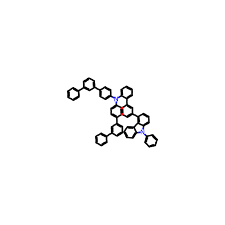 c1ccc(-c2cccc(-c3ccc(N(c4ccc(-c5cccc(-c6ccccc6)c5)cc4)c4ccccc4-c4cccc(-c5cccc6c5c5ccccc5n6-c5ccccc5)c4)cc3)c2)cc1